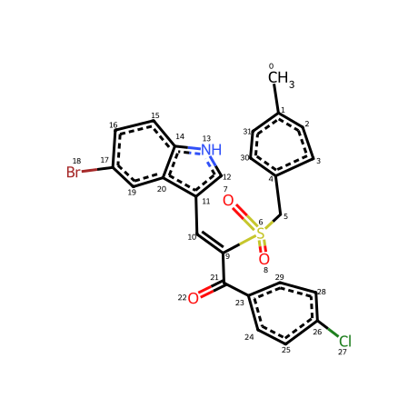 Cc1ccc(CS(=O)(=O)C(=Cc2c[nH]c3ccc(Br)cc23)C(=O)c2ccc(Cl)cc2)cc1